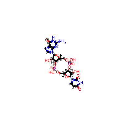 Nc1nc2c(ncn2[C@@H]2O[C@@H]3COP(=O)(O)O[C@H]4[C@@H](O)[C@H](n5ccc(=O)[nH]c5=O)O[C@@H]4COP(=O)(O)O[C@H]3[C@H]2O)c(=O)[nH]1